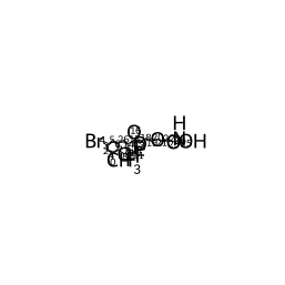 Cc1cc(Br)cc2c1OC(C(F)(F)F)C(C(=O)OCCOCCONO)=C2